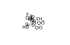 CC[C@@H](CNS(=O)(=O)C1(c2ccccc2F)CC1)N1C(=O)[C@H](CCC(=O)O)O[C@H](c2cccc(Cl)c2)[C@H]1c1ccc(Cl)cc1